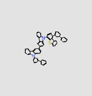 c1ccc(-c2cccc(-c3ccc(-n4c5ccccc5c5cc(-c6ccc7c(c6)c6ccccc6n7-c6cccc(-c7ccccc7)c6)ccc54)c4sc5ccccc5c34)c2)cc1